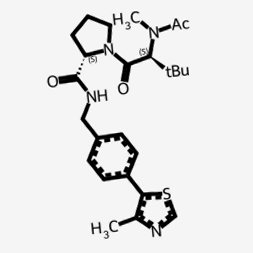 CC(=O)N(C)[C@H](C(=O)N1CCC[C@H]1C(=O)NCc1ccc(-c2scnc2C)cc1)C(C)(C)C